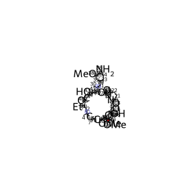 CC[C@@H]1/C=C(\C)C[C@H](C)C[C@H](OC)[C@H]2O[C@@](O)(C(=O)C(=O)N3CCCC[C@H]3C(=O)O[C@H](/C(C)=C/[C@@H]3CC[C@H](N)[C@H](OC)C3)[C@H](C)[C@@H](O)CC1=O)[C@H](C)C[C@@H]2OC